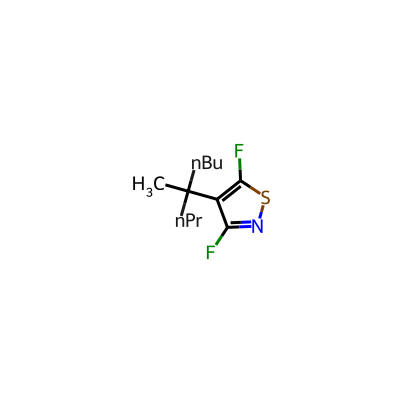 CCCCC(C)(CCC)c1c(F)nsc1F